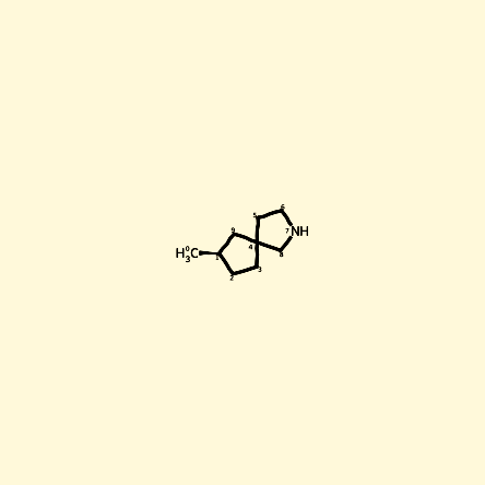 C[C@@H]1CCC2(CCNC2)C1